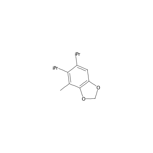 Cc1c2c(cc(C(C)C)c1C(C)C)OCO2